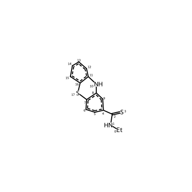 CCNC(=S)c1ccc2c(c1)Nc1ccccc1S2